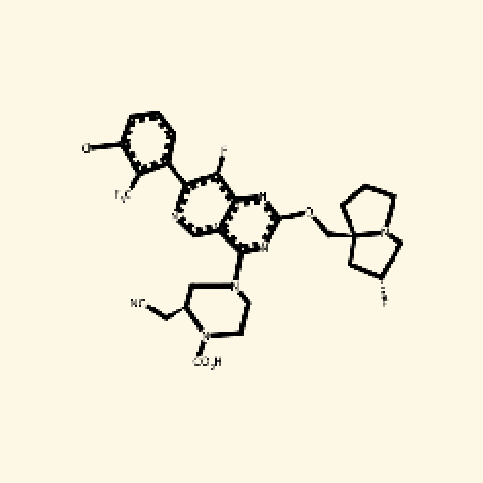 N#CC[C@H]1CN(c2nc(OC[C@@]34CCCN3C[C@H](F)C4)nc3c(F)c(-c4cccc(Cl)c4C(F)(F)F)ncc23)CCN1C(=O)O